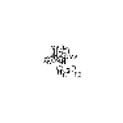 COc1ccccc1Oc1c(NS(=O)(=O)c2ccc(C)cn2)nc(-c2ccnc(C(=O)OCC(=O)c3ccccc3)c2)nc1OC